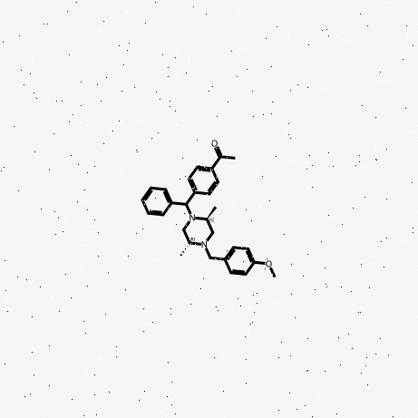 COc1ccc(CN2C[C@H](C)N(C(c3ccccc3)c3ccc(C(C)=O)cc3)C[C@H]2C)cc1